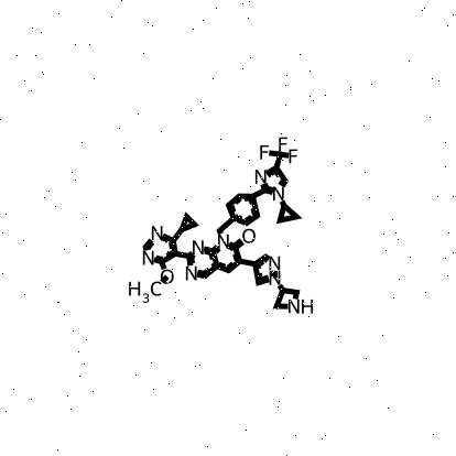 COc1ncnc(C2CC2)c1-c1ncc2cc(-c3cnn(C4CNC4)c3)c(=O)n(Cc3ccc(-c4nc(C(F)(F)F)cn4C4CC4)cc3)c2n1